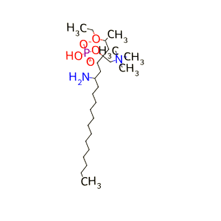 CCCCCCCCCCCCCC(N)CCC(CC(C)OCC)(C[N+](C)(C)C)OP(=O)([O-])O